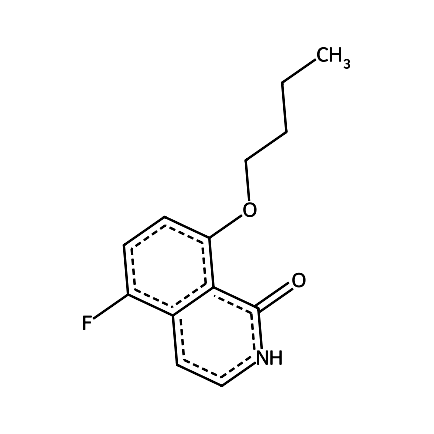 CCCCOc1ccc(F)c2cc[nH]c(=O)c12